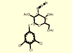 CC(=O)OCC1O[C@H](Sc2cc(Cl)c(Cl)c(Cl)c2)C(OC(C)=O)[C@@H](N=[N+]=[N-])[C@H]1OC(C)=O